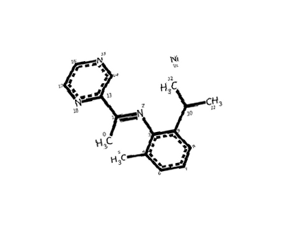 CC(=Nc1c(C)cccc1C(C)C)c1cnccn1.[Ni]